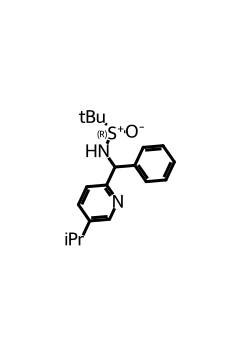 CC(C)c1ccc(C(N[S@@+]([O-])C(C)(C)C)c2ccccc2)nc1